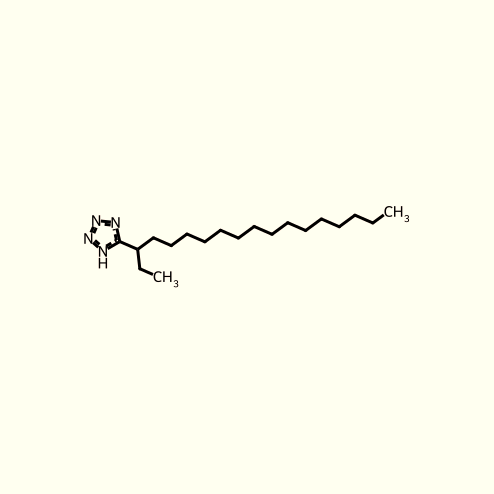 CCCCCCCCCCCCCCCC(CC)c1nnn[nH]1